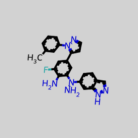 Cc1cccc(-n2nccc2-c2cc(F)c(N)c(N(N)c3ccc4cn[nH]c4c3)c2)c1